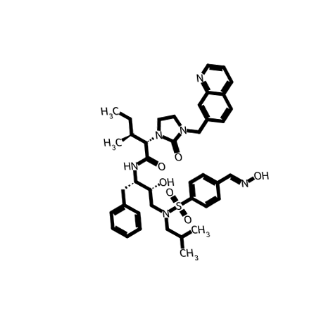 CC[C@H](C)[C@@H](C(=O)N[C@@H](Cc1ccccc1)[C@H](O)CN(CC(C)C)S(=O)(=O)c1ccc(/C=N/O)cc1)N1CCN(Cc2ccc3cccnc3c2)C1=O